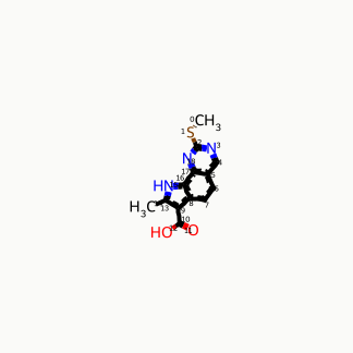 CSc1ncc2ccc3c(C(=O)O)c(C)[nH]c3c2n1